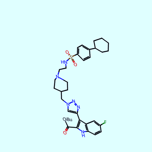 CC(C)COC(=O)c1[nH]c2ccc(F)cc2c1-c1cn(CC2CCN(CCNS(=O)(=O)c3ccc(C4CCCCC4)cc3)CC2)nn1